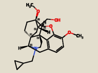 COc1ccc2c3c1O[C@H]1[C@@]4(OC)CC[C@@]5(C[C@H]4CO)[C@@H](C2)N(CC2CC2)CC[C@]315